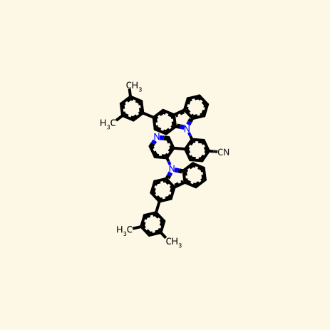 Cc1cc(C)cc(-c2ccc3c(c2)c2ccccc2n3-c2ccncc2-c2ccc(C#N)cc2-n2c3ccccc3c3cc(-c4cc(C)cc(C)c4)ccc32)c1